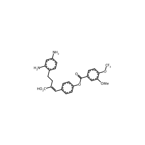 COc1cc(C(=O)Oc2ccc(C=C(CCc3ccc(N)cc3N)C(=O)O)cc2)ccc1OC(F)(F)F